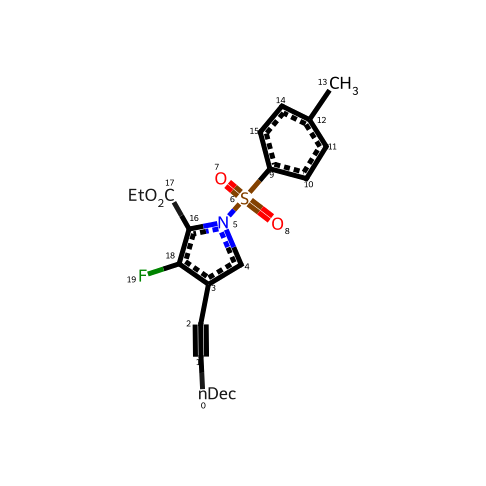 CCCCCCCCCCC#Cc1cn(S(=O)(=O)c2ccc(C)cc2)c(C(=O)OCC)c1F